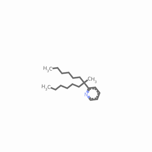 CCCCCCC(C)(CCCCCC)c1ccccn1